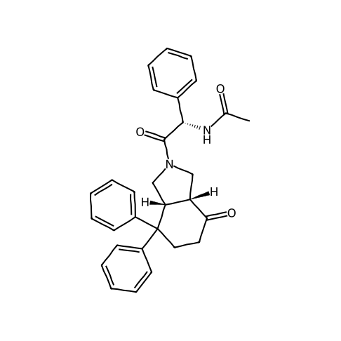 CC(=O)N[C@H](C(=O)N1C[C@@H]2C(=O)CCC(c3ccccc3)(c3ccccc3)[C@@H]2C1)c1ccccc1